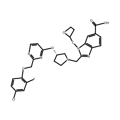 O=C(O)c1ccc2nc(CN3CC[C@H](Oc4ccnc(COc5ccc(Cl)cc5F)n4)C3)n(CC3CCO3)c2c1